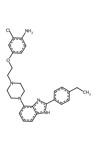 CCc1ccc(-c2nc3c(N4CCN(CCOc5ccc(N)c(Cl)c5)CC4)cccc3[nH]2)cc1